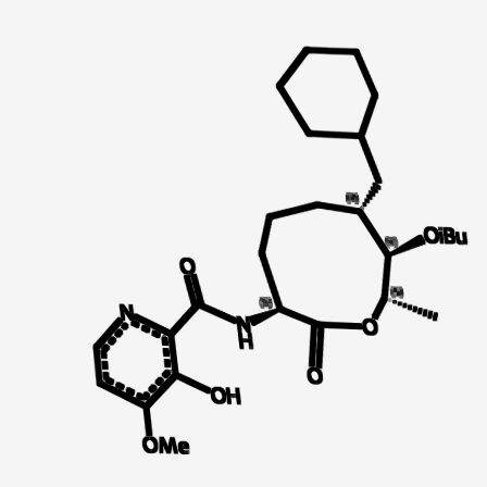 COc1ccnc(C(=O)N[C@H]2CCC[C@H](CC3CCCCC3)[C@@H](OCC(C)C)[C@H](C)OC2=O)c1O